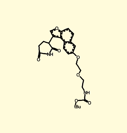 CC(C)(C)OC(=O)NCCOCCOc1ccc2c(ccc3occ(C4CCC(=O)NC4=O)c32)c1